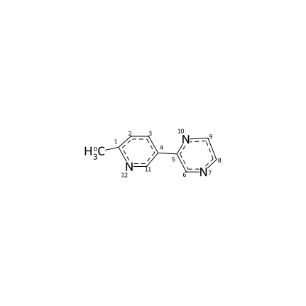 Cc1ccc(-c2cnccn2)cn1